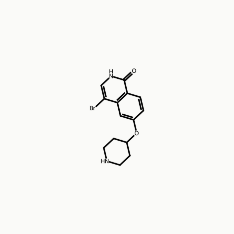 O=c1[nH]cc(Br)c2cc(OC3CCNCC3)ccc12